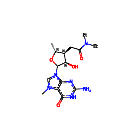 CCN(CC)C(=O)C[C@@H]1[C@@H](C)OC(n2c[n+](C)c3c(=O)[nH]c(N)nc32)[C@@H]1O